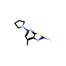 Cc1cc(N2CCCC2)nc2sc(N)nc12